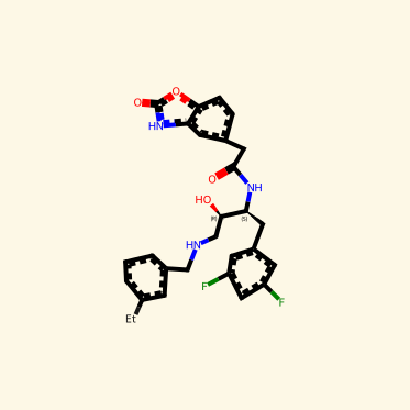 CCc1cccc(CNC[C@@H](O)[C@H](Cc2cc(F)cc(F)c2)NC(=O)Cc2ccc3oc(=O)[nH]c3c2)c1